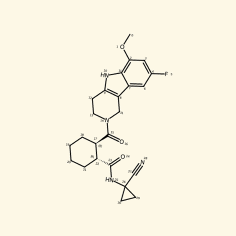 COc1cc(F)cc2c3c([nH]c12)CCN(C(=O)[C@@H]1CCCC[C@H]1C(=O)NC1(C#N)CC1)C3